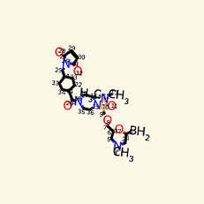 BC1CN(C)CC(COCP(=O)(N(C)C)N2CCN(C(=O)C3CCC(CN4C(=O)C=CC4=O)CC3)CC2)O1